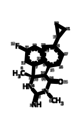 CN1C(=N)N[C@](C)(c2cccc(F)c2)[C@@H](c2ccc(C3CC3)cc2)C1=O